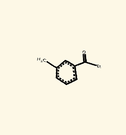 CCC(=O)c1cc[c]c(C)c1